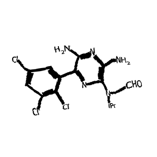 CC(C)N(C=O)c1nc(-c2cc(Cl)cc(Cl)c2Cl)c(N)nc1N